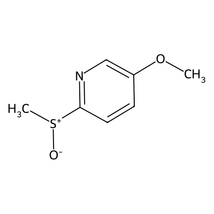 COc1ccc([S+](C)[O-])nc1